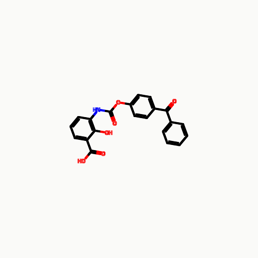 O=C(Nc1cccc(C(=O)O)c1O)Oc1ccc(C(=O)c2ccccc2)cc1